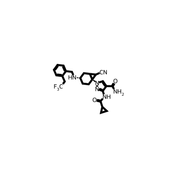 N#CC1C2C[C@@H](NCc3ccccc3CC(F)(F)F)CC[C@@]12n1cc(C(N)=O)c(NC(=O)C2CC2)n1